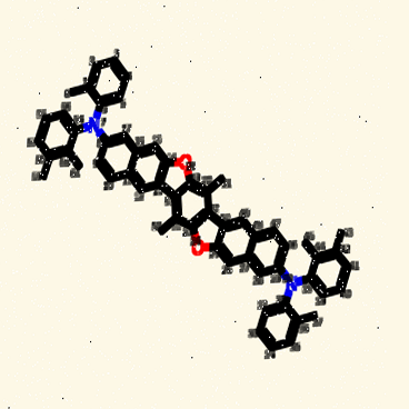 Cc1ccccc1N(c1ccc2cc3c(cc2c1)oc1c(C)c2c(oc4cc5cc(N(c6ccccc6C)c6cccc(C)c6C)ccc5cc42)c(C)c13)c1cccc(C)c1C